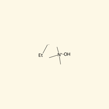 C[N+](C)(C)O.[CH2]CC